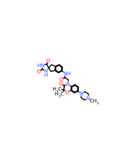 CN1CCN(c2ccc3c(c2)OC(C)(C)C(=O)N3CC(=O)Nc2ccc3c(c2)CC2(C3)NC(=O)NC2=O)CC1